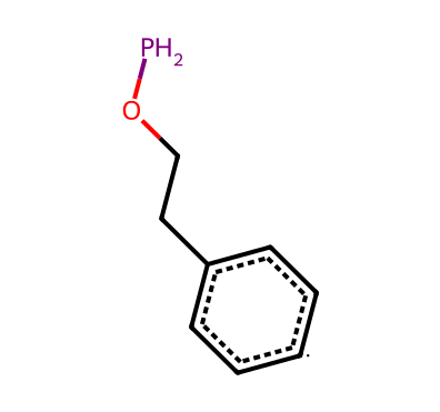 POCCc1cc[c]cc1